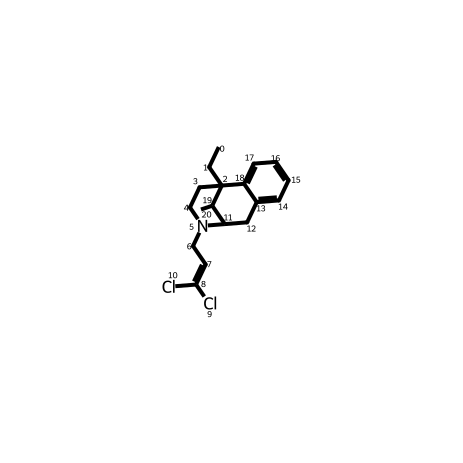 CCC12CCN(CC=C(Cl)Cl)C(Cc3ccccc31)C2C